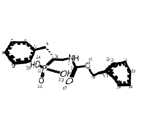 O=C(N[C@@H](Cc1ccccc1)P(=O)(O)O)OCc1ccccc1